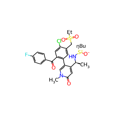 CCCC[S@+]([O-])N[C@@H](C)c1cc(=O)n(C)cc1-c1cc(CS(=O)(=O)CC)c(Cl)cc1C(=O)c1ccc(F)cc1